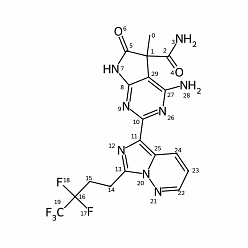 CC1(C(N)=O)C(=O)Nc2nc(-c3nc(CCC(F)(F)C(F)(F)F)n4ncccc34)nc(N)c21